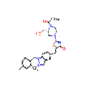 COC(=O)N1CCN(C2=NC(=O)/C(=C/c3ccc4c(cnn4Cc4ccc(C)cc4C(F)(F)F)c3)S2)C[C@@H]1CO